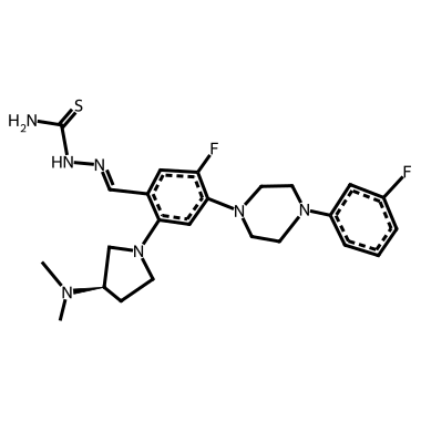 CN(C)[C@@H]1CCN(c2cc(N3CCN(c4cccc(F)c4)CC3)c(F)cc2C=NNC(N)=S)C1